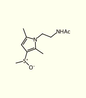 CC(=O)NCCn1c(C)cc([S+](C)[O-])c1C